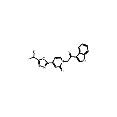 O=C(Cn1ccc(-c2nnc(C(F)F)o2)cc1=O)c1coc2ccccc12